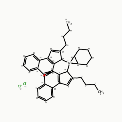 CCCCC1=Cc2c(ccc3ccccc23)[CH]1[Ti+2]1([CH]2C(CCCC)=Cc3c2ccc2ccccc32)[CH]2CCCC[CH]21.[Cl-].[Cl-]